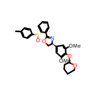 COc1cc([C@H]2COC(c3ccccc3[S+]([O-])c3ccc(C)cc3)=N2)cc(OC)c1OC1CCCCO1